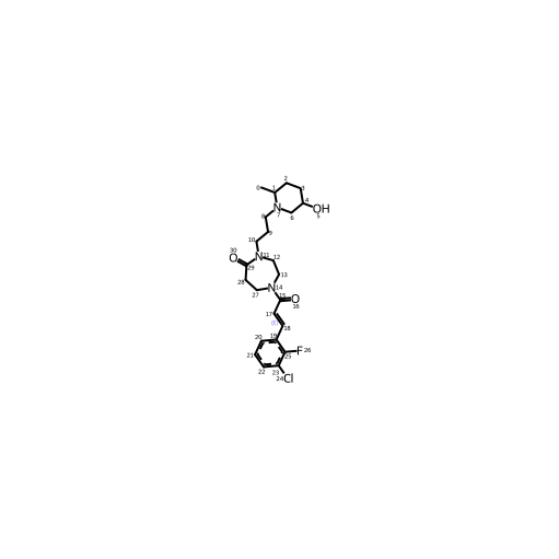 CC1CCC(O)CN1CCCN1CCN(C(=O)/C=C/c2cccc(Cl)c2F)CCC1=O